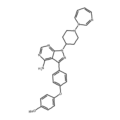 COc1ccc(Oc2ccc(-c3nn(C4CCN(N5C=CC=CN=C5)CC4)c4ncnc(N)c34)cc2)cc1